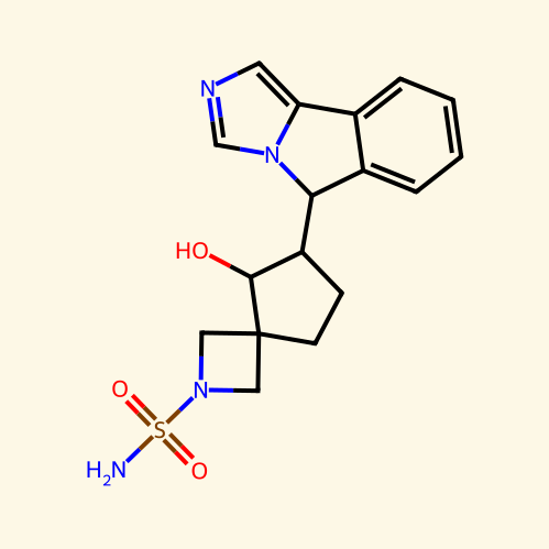 NS(=O)(=O)N1CC2(CCC(C3c4ccccc4-c4cncn43)C2O)C1